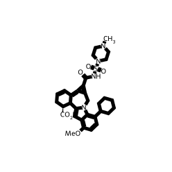 COc1ccc(C2CCCCC2)c2c1cc1n2CC2=C(C(=O)NS(=O)(=O)N3CCN(C)CC3)C2=C2C=CC[C@@H](C(=O)O)C21